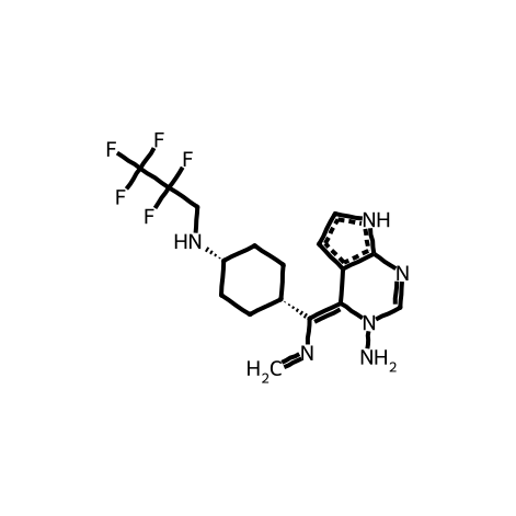 C=N/C(=C1/c2cc[nH]c2N=CN1N)[C@H]1CC[C@@H](NCC(F)(F)C(F)(F)F)CC1